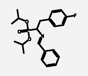 CC(C)OP(=O)(OC(C)C)C(Cc1ccc(F)cc1)N=Cc1ccccc1